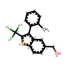 Cc1ccccc1-c1c(C(F)(F)F)sc2ccc(CO)cc12